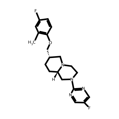 Cc1cc(F)ccc1OC[C@H]1CC[C@H]2CN(c3ncc(F)cn3)CCN2C1